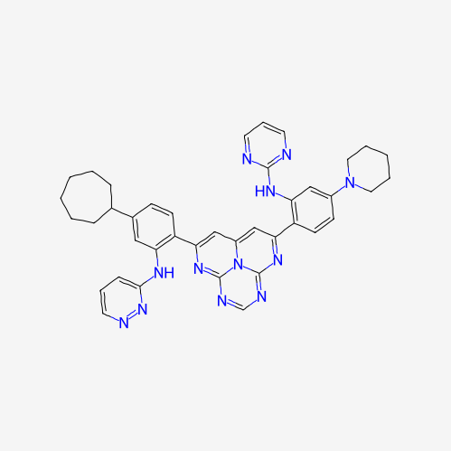 C1=NC2=NC(c3ccc(C4CCCCCC4)cc3Nc3cccnn3)=CC3=CC(c4ccc(N5CCCCC5)cc4Nc4ncccn4)=NC(=N1)N32